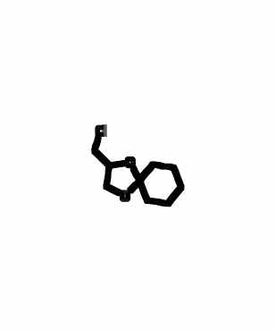 ClCC1COC2(CCCCC2)O1